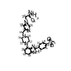 CS(=O)(=O)c1ccc(-c2nc3c(N4CCN(Cc5cn(CC(N)=O)cn5)CC4)cccc3[nH]2)cc1